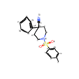 Cc1ccc(S(=O)(=O)N2CCC(C#N)(c3ccccc3)CC2)cc1